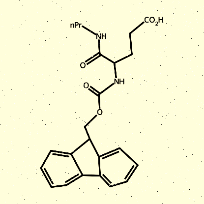 CCCNC(=O)C(CCC(=O)O)NC(=O)OCC1c2ccccc2-c2ccccc21